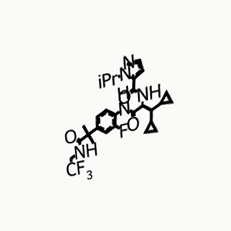 CC(C)n1nccc1C(=O)N[C@H](C(=O)Nc1ccc(C(C)(C)C(=O)NCC(F)(F)F)cc1F)C(C1CC1)C1CC1